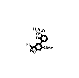 CCc1noc2cc(OC)c(-c3cccc(S(N)(=O)=O)c3F)cc12